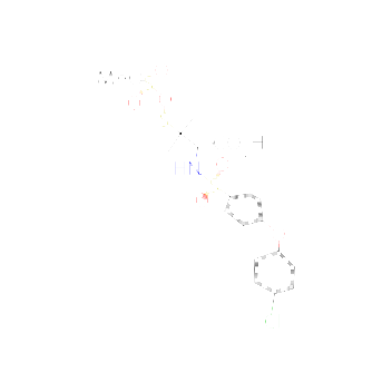 COS(=O)(=O)OSC(C)(C)[C@@H](NS(=O)(=O)c1ccc(Oc2ccc(Cl)cc2)cc1)C(=O)O